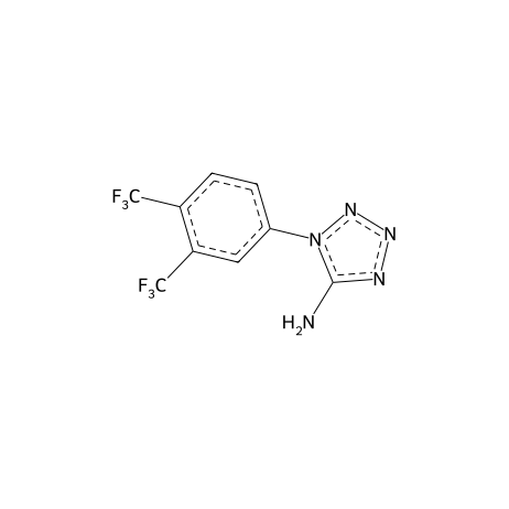 Nc1nnnn1-c1ccc(C(F)(F)F)c(C(F)(F)F)c1